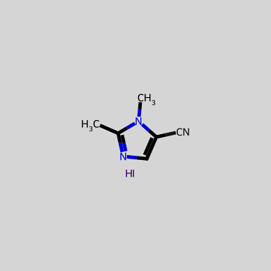 Cc1ncc(C#N)n1C.I